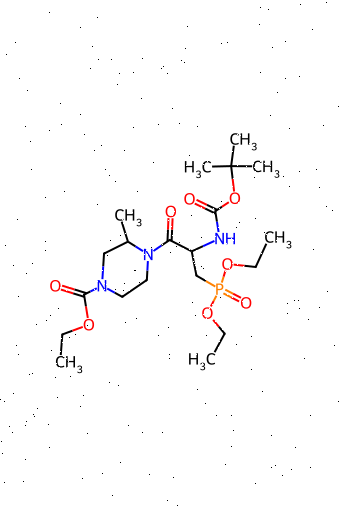 CCOC(=O)N1CCN(C(=O)C(CP(=O)(OCC)OCC)NC(=O)OC(C)(C)C)C(C)C1